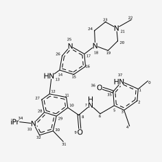 Cc1cc(C)c(CNC(=O)c2cc(Nc3ccc(N4CCN(C)CC4)nc3)cc3c2c(C)cn3C(C)C)c(=O)[nH]1